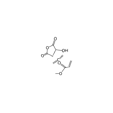 C=C=C.C=CC(=O)OC.O=C1CC(O)C(=O)O1